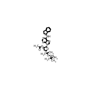 CC(=O)O[C@@H]1C[C@@H](C(C)(C)O[SiH2]C(C)(C)C)O[C@H]1n1cnc2c(N[C@H]3CCc4ccccc43)ncnc21